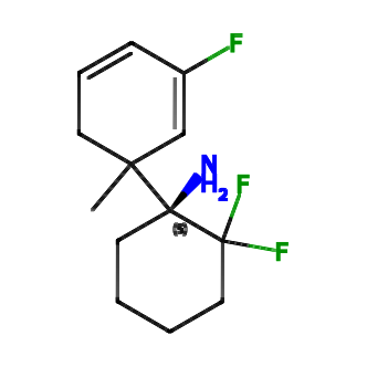 CC1([C@@]2(N)CCCCC2(F)F)C=C(F)C=CC1